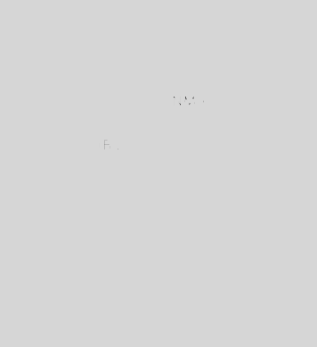 CNc1ccc(C)cc1C(C)(C)C